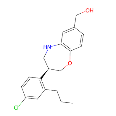 CCCc1cc(Cl)ccc1[C@H]1CNc2cc(CO)ccc2OC1